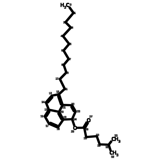 CCCCCCCCCCCCc1ccc2cccc3c2c1C=CC3OC(=O)CCCC(C)C